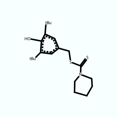 CC(C)(C)c1cc(CSC(=S)N2CCCCC2)cc(C(C)(C)C)c1O